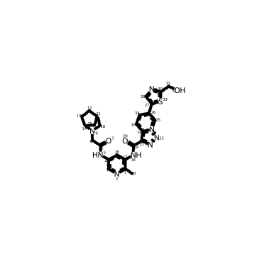 Cc1ncc(NC(=O)CN2CC3CCC2C3)cc1NC(=O)c1nnn2cc(-c3cnc(CO)s3)ccc12